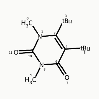 Cn1c(C(C)(C)C)c(C(C)(C)C)c(=O)n(C)c1=O